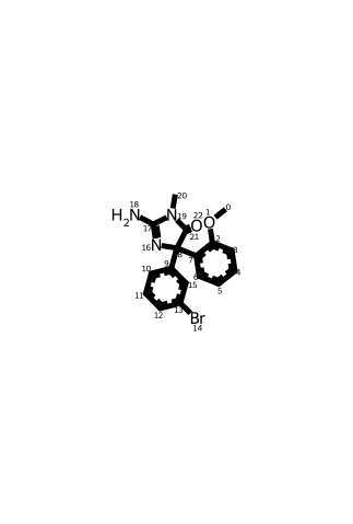 COc1ccccc1C1(c2cccc(Br)c2)N=C(N)N(C)C1=O